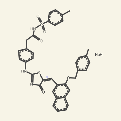 Cc1ccc(COc2cc3ccccc3cc2/C=C2/SC(Nc3ccc(CC(=O)NS(=O)(=O)c4ccc(C)cc4)cc3)=NC2=O)cc1.[NaH]